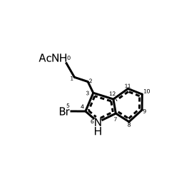 CC(=O)NCCc1c(Br)[nH]c2ccccc12